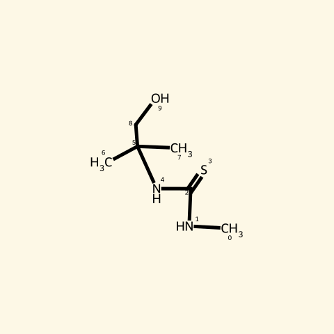 CNC(=S)NC(C)(C)CO